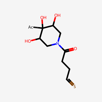 CC(=O)C1(O)C(O)CN(C(=O)CCC=S)CC1O